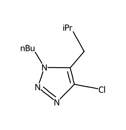 CCCCn1nnc(Cl)c1CC(C)C